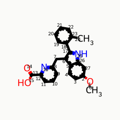 COc1ccc2c(Cc3cccc(C(=O)O)n3)c(-c3ccccc3C)[nH]c2c1